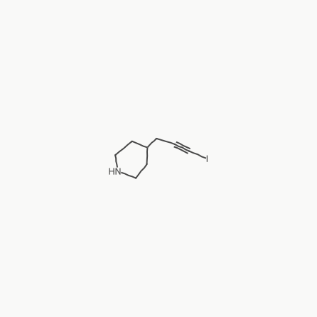 IC#CCC1CCNCC1